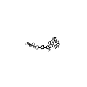 CC(C)(C)OC(=O)CN1CCC(c2ccc(-c3cc(F)c4c(c3)C(=O)N([C@@H](C(=O)Nc3nccs3)c3ncn5c3CCC5)C4)cc2)CC1